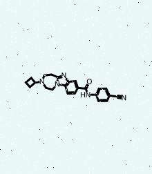 N#Cc1ccc(NC(=O)c2ccc3c(c2)nc2n3CCN(C3CCC3)CC2)cc1